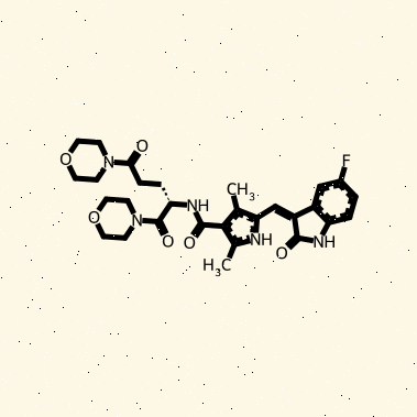 Cc1[nH]c(/C=C2\C(=O)Nc3ccc(F)cc32)c(C)c1C(=O)N[C@@H](CCC(=O)N1CCOCC1)C(=O)N1CCOCC1